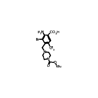 CC(C)(C)OC(=O)N1CCN(Cc2c(C(F)(F)F)cc(C(=O)O)c(N)c2Br)CC1